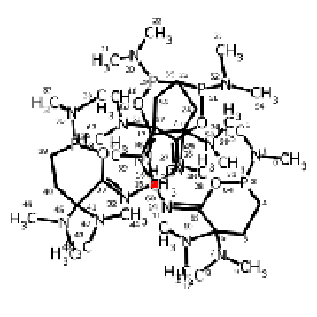 CN(C)P1CCC(N(C)C)(N(C)C)C(=N[PH](N=C2OP(N(C)C)CCC2(N(C)C)N(C)C)(N=C2OP(N(C)C)CCC2(N(C)C)N(C)C)N=C2OP(N(C)C)CCC2(N(C)C)N(C)C)O1